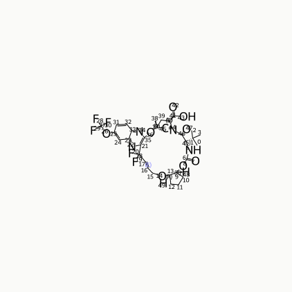 CC(C)(C)[C@@H]1NC(=O)O[C@@H]2CCC[C@H]2OC/C=C/C(F)(F)c2nc3cc(OC(F)(F)F)ccc3nc2O[C@]2(C)C[C@@H](C(=O)O)N(C2)C1=O